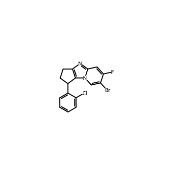 Fc1cc2nc3c(n2cc1Br)C(c1ccccc1Cl)CC3